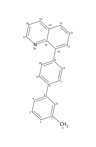 Cc1cccc(-c2ccc(-c3cccc4cccnc34)cc2)c1